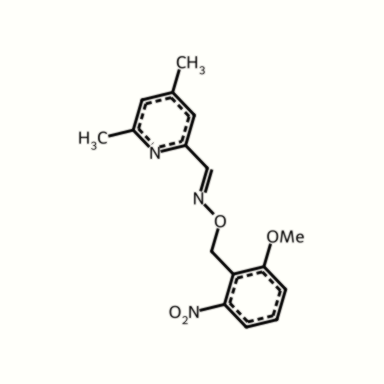 COc1cccc([N+](=O)[O-])c1CON=Cc1cc(C)cc(C)n1